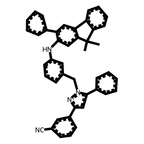 CC1(C)c2ccccc2-c2cc(-c3ccccc3)c(Nc3cccc(Cn4nc(-c5cccc(C#N)c5)cc4-c4ccccc4)c3)cc21